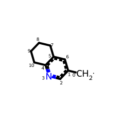 [CH2]c1cnc2c(c1)CCCC2